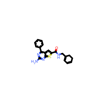 Nc1nc(-c2ccccc2)c2cc(C(=O)NCC3=CC=CCC3)sc2n1